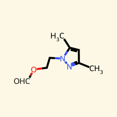 Cc1cc(C)n(CCOC=O)n1